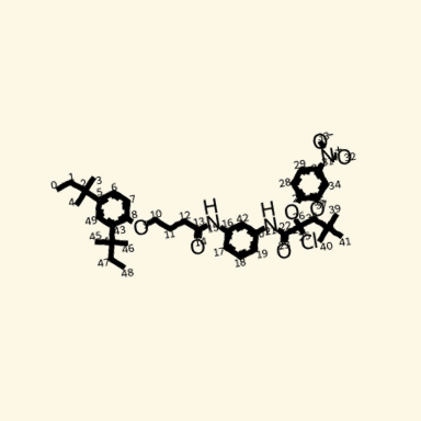 CCC(C)(C)c1ccc(OCCCC(=O)Nc2cccc(NC(=O)C(Cl)(Oc3ccc([N+](=O)[O-])cc3)C(=O)C(C)(C)C)c2)c(C(C)(C)CC)c1